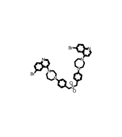 O=S(=O)(Cc1ccc(N2CCCN(c3ccnc4ccc(Br)cc34)CC2)cc1)Cc1ccc(N2CCCN(c3ccnc4ccc(Br)cc34)CC2)cc1